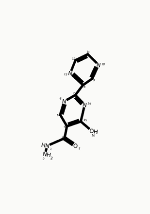 NNC(=O)c1cnc(-c2cnccn2)nc1O